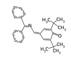 CC(C)(C)C1=CC(=CN=C(c2ccccc2)c2ccccc2)C=C(C(C)(C)C)C1=O